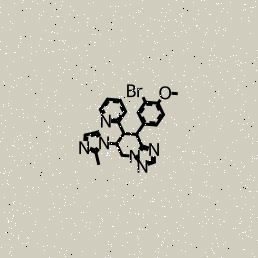 COc1ccc(C2c3ncnn3CC(n3ccnc3C)C2c2ccccn2)cc1Br